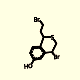 Oc1ccc2c(c1)C(Br)CSC2CCBr